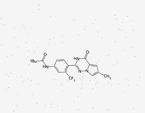 Cc1cc2c(=O)[nH]c(-c3ccc(NC(=O)C(C)(C)C)cc3C(F)(F)F)nn2c1